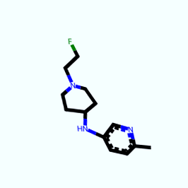 Cc1ccc(NC2CCN(CCF)CC2)cn1